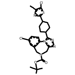 Cc1nc(C2CCC(c3nnc4n3-c3ccc(Cl)cc3CN(C(=O)OC(C)(C)C)C4)CC2)sc1Cl